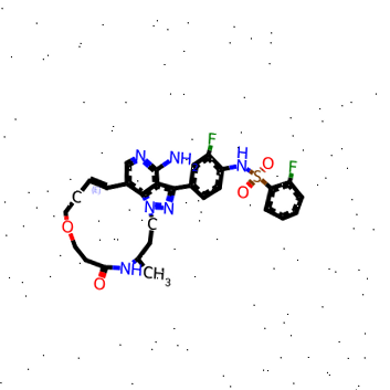 CC1CCn2nc(-c3ccc(NS(=O)(=O)c4ccccc4F)c(F)c3)c3c(N)ncc(c32)/C=C/CCOCCC(=O)N1